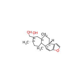 C[C@H]1CCC2[C@](C)(CC[C@@H]3c4ccoc4C=C[C@@]23C)C[C@]1(O)CO